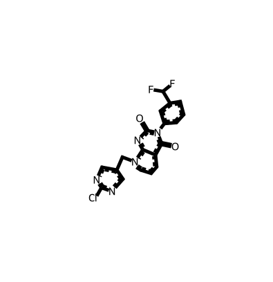 O=c1nc2n(Cc3cnc(Cl)nc3)cccc-2c(=O)n1-c1cccc(C(F)F)c1